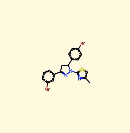 Cc1csc(N2N=C(c3cccc(Br)c3)CC2c2ccc(Br)cc2)n1